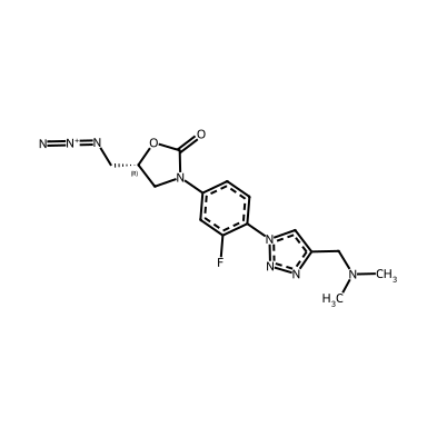 CN(C)Cc1cn(-c2ccc(N3C[C@H](CN=[N+]=[N-])OC3=O)cc2F)nn1